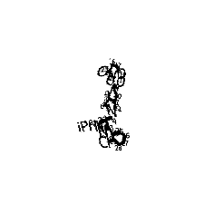 CC(C)n1cc(CN2CC3CN(C(=O)ON4C(=O)CCC4=O)CC3C2)c(-c2ccccc2Cl)n1